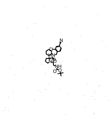 CC(C)(C)OC(=O)NCC(=O)N1CCC[C@]1(C(=O)NCc1ccc(C#N)cc1Cl)C1CCCCC1